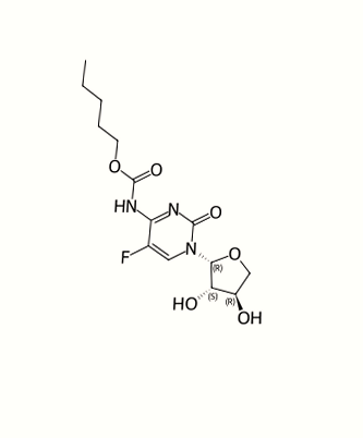 CCCCCOC(=O)Nc1nc(=O)n([C@@H]2OC[C@@H](O)[C@@H]2O)cc1F